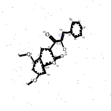 COc1cc(OC)c2cc(C(=O)/C(Cl)=C/c3ccccc3)c(=O)oc2c1